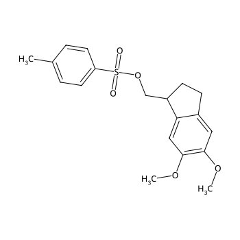 COc1cc2c(cc1OC)C(COS(=O)(=O)c1ccc(C)cc1)CC2